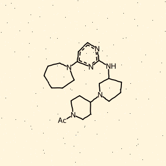 CC(=O)N1CCC(N2CCCC(Nc3nccc(N4CCCCCC4)n3)C2)CC1